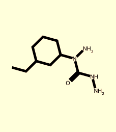 CCC1CCCC(N(N)C(=O)NN)C1